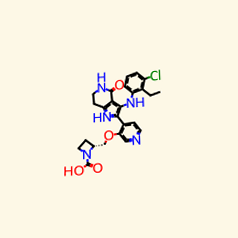 CCc1c(Cl)cccc1Nc1c(-c2ccncc2OC[C@H]2CCN2C(=O)O)[nH]c2c1C(=O)NCC2